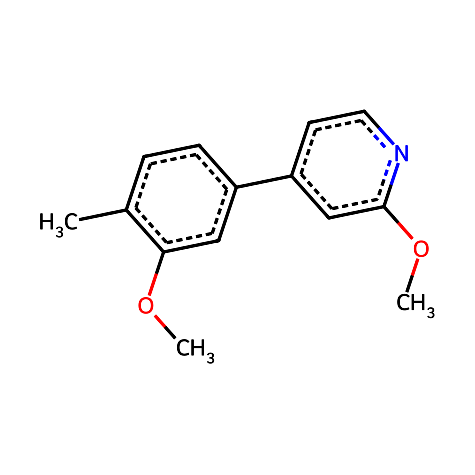 COc1cc(-c2ccc(C)c(OC)c2)ccn1